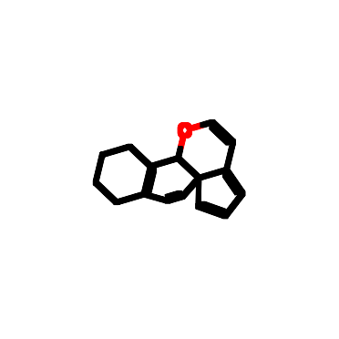 C1=CC23C=CC4=C(CCCC4)C2OC=CC3=C1